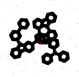 c1ccc(-c2cccc(-n3c4ccccc4c4ccc(-c5cc(-c6cccc(N(c7ccccc7)c7ccccc7)c6)cc(-c6cccc7c8ccccc8n(-c8cccc9ccccc89)c67)c5)cc43)c2)cc1